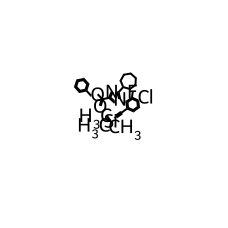 C[Si](C)(C)C#Cc1ccc(Cl)c(F)c1-n1cc(C(=O)OCc2ccccc2)nc1C1CCCCCC1